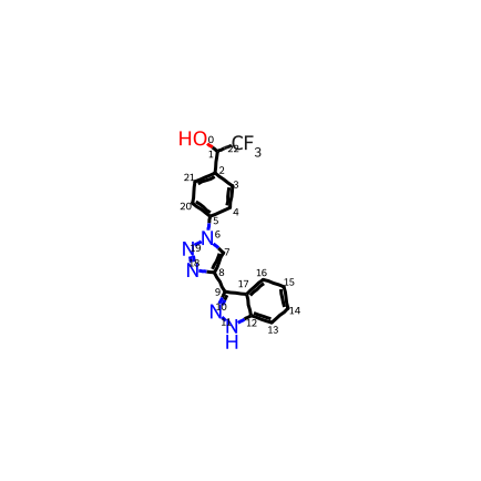 OC(c1ccc(-n2cc(-c3n[nH]c4ccccc34)nn2)cc1)C(F)(F)F